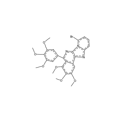 COc1cc(-c2nc3c(nc4cccc(Br)n43)c3cc(OC)c(OC)c(OC)c23)cc(OC)c1OC